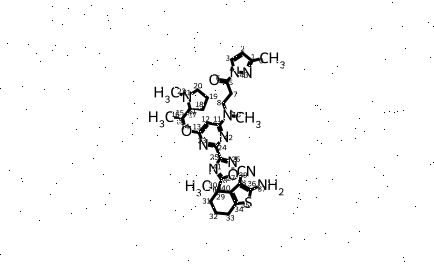 Cc1ccn(C(=O)CCN(C)c2cc(O[C@@H](C)[C@@H]3CCCN3C)nc(-c3noc([C@]4(C)CCCc5sc(N)c(C#N)c54)n3)n2)n1